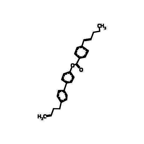 C=CCCc1ccc(-c2ccc(OC(=O)c3ccc(/C=C/CCC)cc3)cc2)cc1